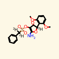 [2H]C1(c2c(OC)cccc2OC)OC(N)=C(OS(=O)(=O)C([2H])([2H])c2ccccc2)C1=O